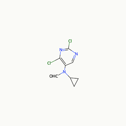 O=CN(c1cnc(Cl)nc1Cl)C1CC1